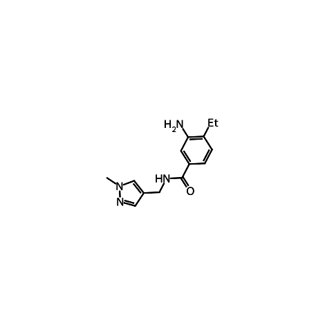 CCc1ccc(C(=O)NCc2cnn(C)c2)cc1N